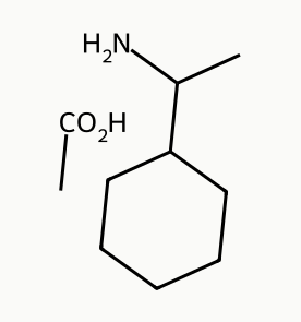 CC(=O)O.CC(N)C1CCCCC1